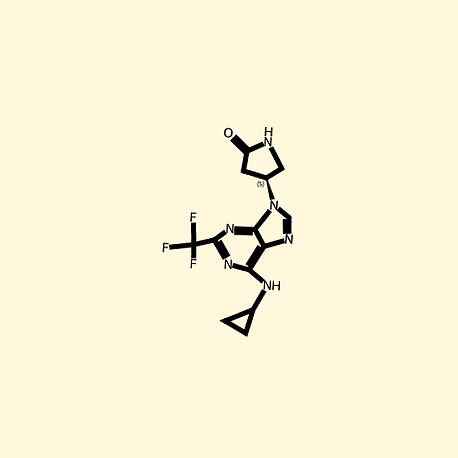 O=C1C[C@H](n2cnc3c(NC4CC4)nc(C(F)(F)F)nc32)CN1